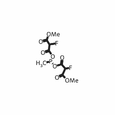 COC(=O)C(F)C(=O)OP(C)OC(=O)C(F)C(=O)OC